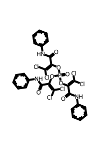 O=C(Nc1ccccc1)C(OP(=O)(OC(C(=O)Nc1ccccc1)=C(Cl)Cl)OC(C(=O)Nc1ccccc1)=C(Cl)Cl)=C(Cl)Cl